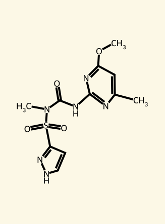 COc1cc(C)nc(NC(=O)N(C)S(=O)(=O)c2cc[nH]n2)n1